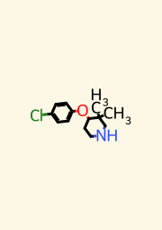 CC1(C)CNCCC1Oc1ccc(Cl)cc1